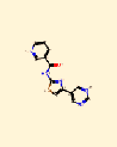 O=C(Nc1nc(-c2cncnc2)cs1)c1cccnc1